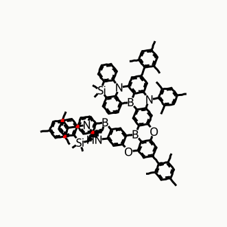 Cc1cc(C)c(-c2cc3c4c(c2)Oc2cc5c(cc2B4c2cc4c(cc2O3)Nc2cc(-c3c(C)cc(C)cc3C)cc3c2B4c2cccc4c2N3c2ccccc2[Si]4(C)C)B2c3cccc4c3N(c3ccccc3[Si]4(C)C)c3cc(-c4c(C)cc(C)cc4C)cc(c32)N5c2c(C)cc(C)cc2C)c(C)c1